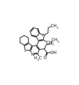 CCCC(C(=O)O)c1c(C)nc2sc3c(c2c1-c1c(C)n(CCC)c2ccccc12)CCCC3